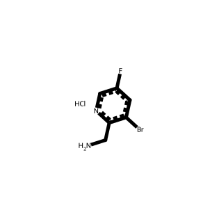 Cl.NCc1ncc(F)cc1Br